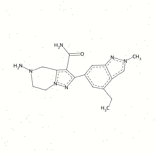 CCc1cc(-c2nn3c(c2C(N)=O)CN(N)CC3)cc2nn(C)cc12